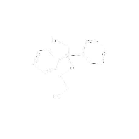 CCCO[Si](CBr)(c1ccccc1)c1ccccc1